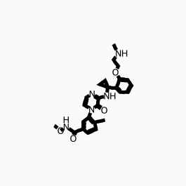 CNCCOc1ccccc1C1(Nc2nccn(-c3cc(C(=O)NOC)ccc3C)c2=O)CC1